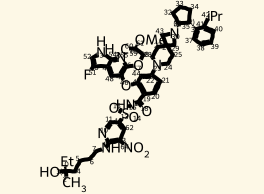 CC[C@@](C)(O)CCCCNc1ncc(S(=O)(=O)NC(=O)c2ccc(N3CCC4(CC3)CN([C@@H]3CCC[C@@H]3c3ccccc3C(C)C)C4)cc2Oc2cc3c(F)c[nH]c3nc2OC[C@@H](C)OC)cc1[N+](=O)[O-]